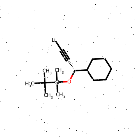 [Li][C]#C[C@@H](O[Si](C)(C)C(C)(C)C)C1CCCCC1